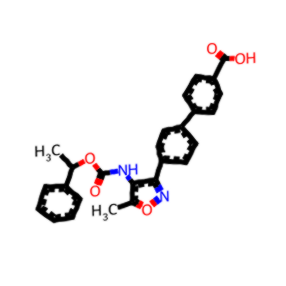 Cc1onc(-c2ccc(-c3ccc(C(=O)O)cc3)cc2)c1NC(=O)OC(C)c1ccccc1